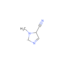 CN1[C]N=CC1C#N